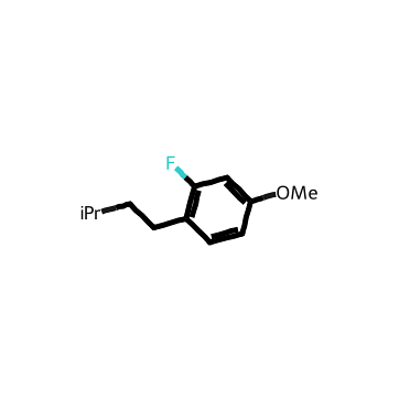 COc1ccc(CCC(C)C)c(F)c1